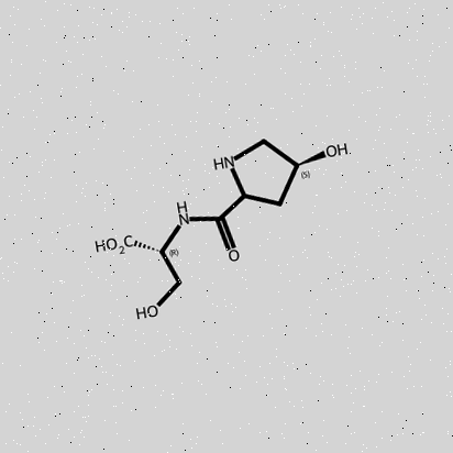 O=C(N[C@H](CO)C(=O)O)C1C[C@H](O)CN1